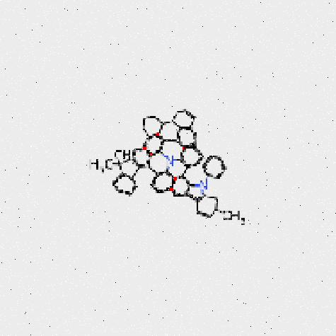 CC1C=Cc2c(n(-c3ccccc3)c3c(-c4ccccc4N(c4ccccc4-c4cccc5c4-c4ccccc4C5(C)C)c4ccccc4-c4cccc5c4C(C4CCCCC4)CC=C5)cccc23)C1